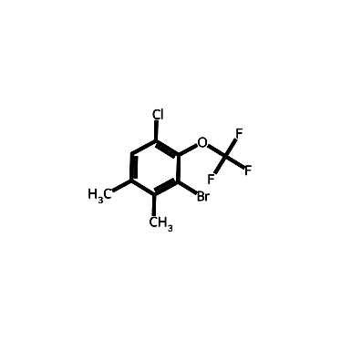 Cc1cc(Cl)c(OC(F)(F)F)c(Br)c1C